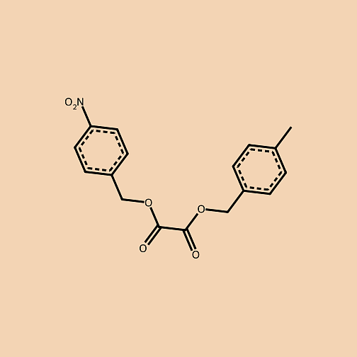 Cc1ccc(COC(=O)C(=O)OCc2ccc([N+](=O)[O-])cc2)cc1